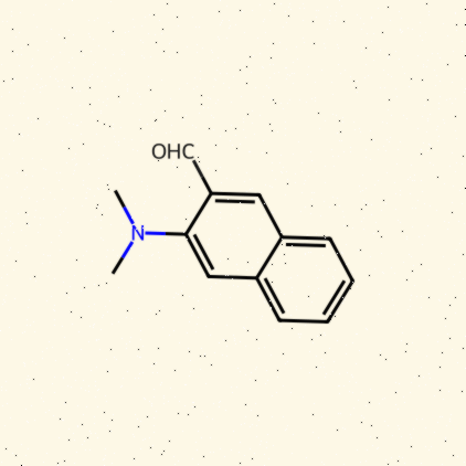 CN(C)c1cc2ccccc2cc1C=O